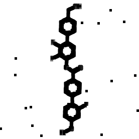 CCOc1ccc(-c2ccc(C(=O)Oc3ccc(-c4ccc(CO)cc4)c(F)c3F)cc2)c(F)c1